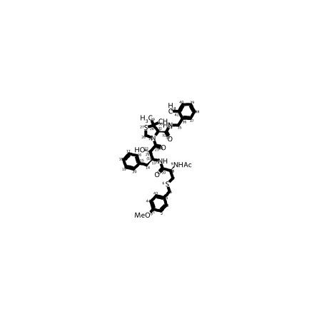 COc1ccc(CSC[C@@H](NC(C)=O)C(=O)N[C@@H](Cc2ccccc2)[C@H](O)C(=O)N2CSC(C)(C)[C@H]2C(=O)NCc2ccccc2C)cc1